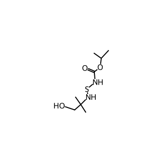 CC(C)OC(=O)NSNC(C)(C)CO